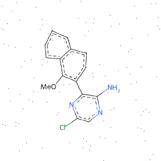 COc1c(-c2nc(Cl)cnc2N)ccc2ccccc12